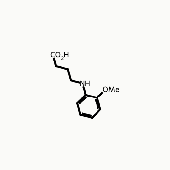 COc1ccccc1NCCCC(=O)O